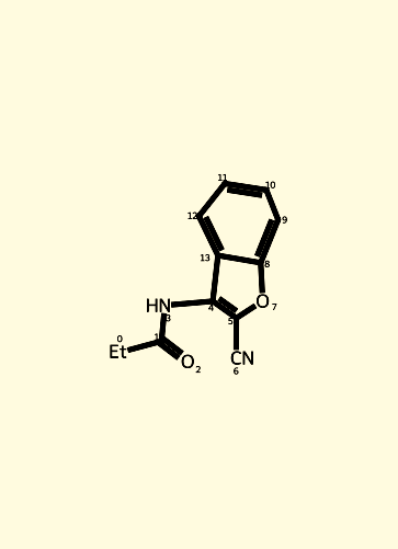 CCC(=O)Nc1c(C#N)oc2ccccc12